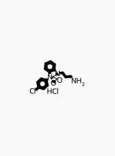 Cl.NCCCN1c2ccccc2N(c2ccc(Cl)cc2)S1(=O)=O